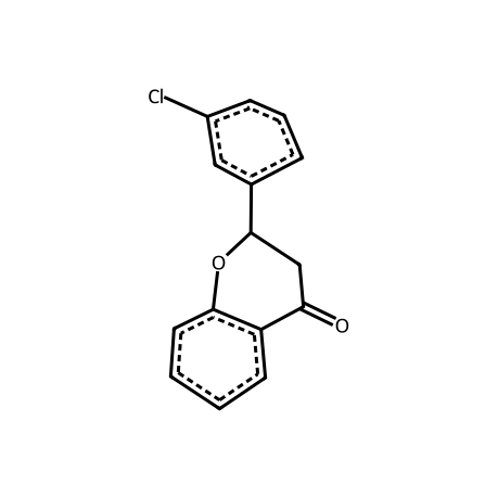 O=C1CC(c2cccc(Cl)c2)Oc2ccccc21